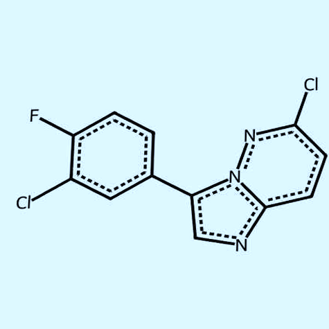 Fc1ccc(-c2cnc3ccc(Cl)nn23)cc1Cl